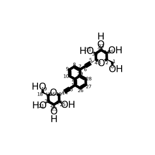 OC[C@H]1O[C@H](C#Cc2cccc3c(C#C[C@H]4O[C@H](CO)[C@@H](O)[C@H](O)[C@@H]4O)cccc23)[C@@H](O)[C@@H](O)[C@@H]1O